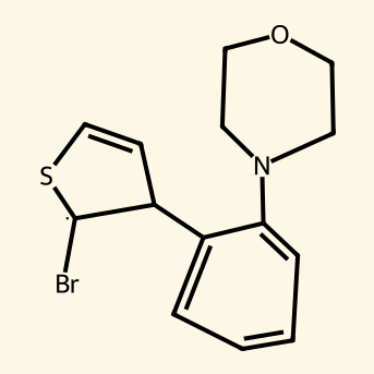 Br[C]1SC=CC1c1ccccc1N1CCOCC1